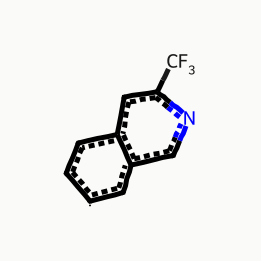 FC(F)(F)c1cc2cc[c]cc2cn1